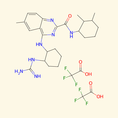 Cc1ccc2nc(C(=O)NC3CCCC(C)C3C)nc(NC3CCCCC3NC(=N)N)c2c1.O=C(O)C(F)(F)F.O=C(O)C(F)(F)F